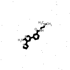 CN(C)CCNC(=O)c1cccc(-c2cnc(N)c(-c3cccs3)c2)c1